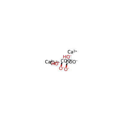 O=C([O-])[O-].O=C([O-])[O-].[Ca+2].[Ca+2].[Ca+2].[OH-].[OH-]